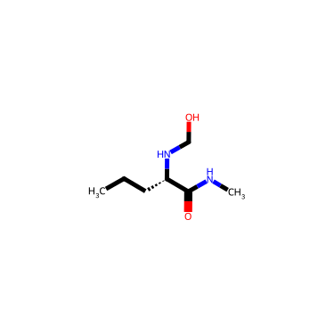 CCC[C@H](NCO)C(=O)NC